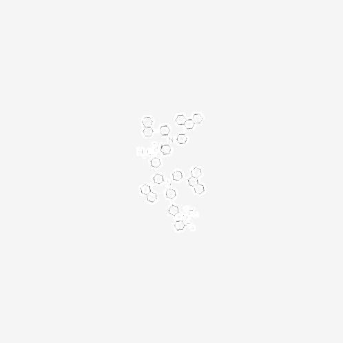 CC1(C)c2ccccc2-c2ccc(-c3ccc(N(c4cc(-c5ccc6c(c5)-c5ccc(N(c7cccc(-c8cccc9ccccc89)c7)c7cccc(-c8cc9ccccc9c9ccccc89)c7)cc5C6(C)C)cc(-c5cccc6ccccc56)c4)c4cccc(-c5cc6ccccc6c6ccccc56)c4)cc3)cc21